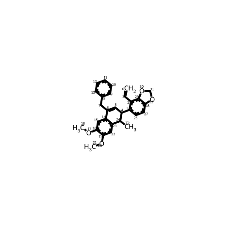 C=Cc1c(C2C=C(Cc3ccccc3)c3cc(OC)c(OC)cc3C2C)ccc2c1OCO2